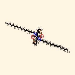 CCCCCCCCCCCCCCCCCN1C(=O)C2=C(c3cccs3)N(CCCCCCCCCCCCCCCCC)C(=O)C2=C1c1cccs1